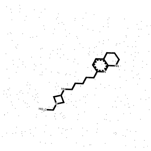 O=C(O)CN1CC(NCCCCCc2ccc3c(n2)NCCC3)C1